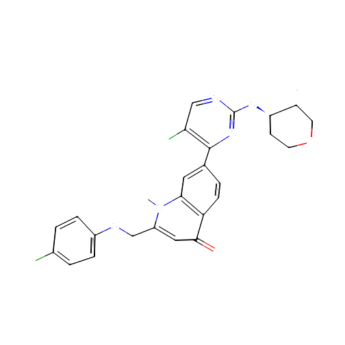 CC(C)n1c(CNc2ccc(F)cc2)cc(=O)c2ccc(-c3nc(N[C@@H]4CCOC[C@H]4O)ncc3F)cc21